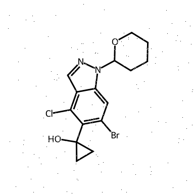 OC1(c2c(Br)cc3c(cnn3C3CCCCO3)c2Cl)CC1